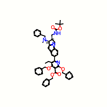 CCc1c(-c2ccc3c(c2)cc2n3C[C@H](CNC(=O)OC(C)(C)C)[C@@H]2N(C)Cc2ccccc2)nc(OCc2ccccc2)c(C(=O)OCc2ccccc2)c1OCc1ccccc1